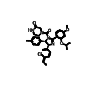 C=C(/C=C\C(Cl)=C/C)[C@@H]1N=C(c2ccc(OC)cc2OC(C)C)N(C(=O)N2CCNC(=O)C2)[C@@H]1c1ccc(C)cc1